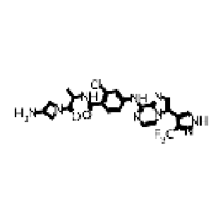 CC(NC(=O)c1ccc(Nc2nccn3c(-c4c[nH]nc4C(F)(F)F)cnc23)cc1Cl)C(=O)N1CC(N)C1